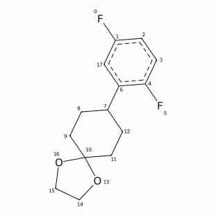 Fc1ccc(F)c(C2CCC3(CC2)OCCO3)c1